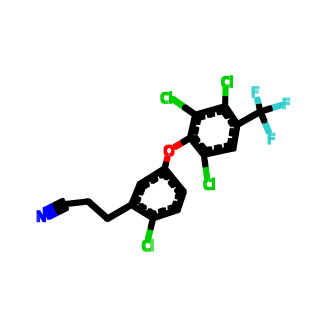 N#CCCc1cc(Oc2c(Cl)cc(C(F)(F)F)c(Cl)c2Cl)ccc1Cl